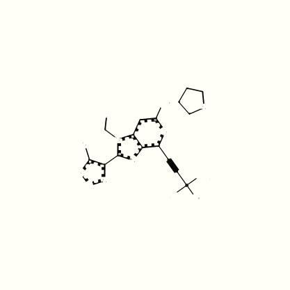 CCn1c(-c2nonc2N)nc2c(C#CC(C)(C)O)nc(O[C@@H]3CCNC3)cc21